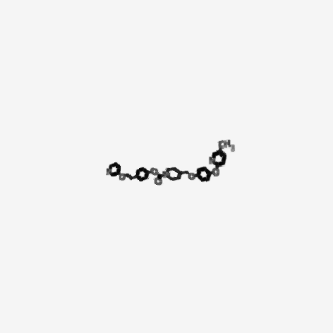 Cc1ccc(Oc2ccc(OCC3CCN(C(=O)Oc4ccc(CCOc5cccnc5)cc4)CC3)cc2)nc1